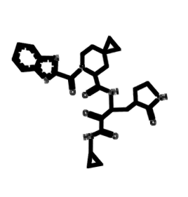 O=C(NC1CC1)C(=O)C(CC1CCNC1=O)NC(=O)C1CC2(CCN1C(=O)c1nc3ccccc3s1)CC2